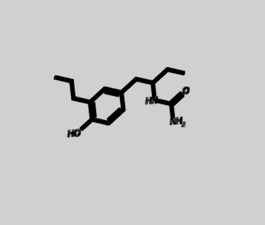 CCCc1cc(CC(CC)NC(N)=O)ccc1O